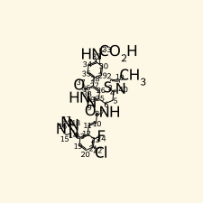 Cc1csc(CC(NC(=O)C=Cc2c(-n3cnnn3)ccc(Cl)c2F)c2cc(-c3ccc(NC(=O)O)cc3)c(=O)[nH]n2)n1